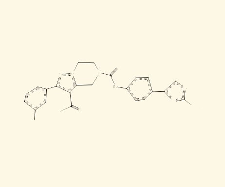 Cc1ncc(-c2ccc(NC(=O)N3CCn4nc(-c5cccc(Cl)c5)c(C(N)=O)c4C3)cc2)o1